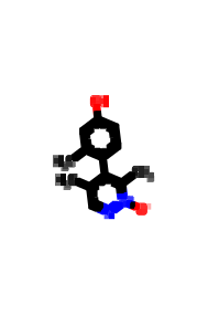 Cc1cc(O)ccc1-c1c(C)cn[n+]([O-])c1C